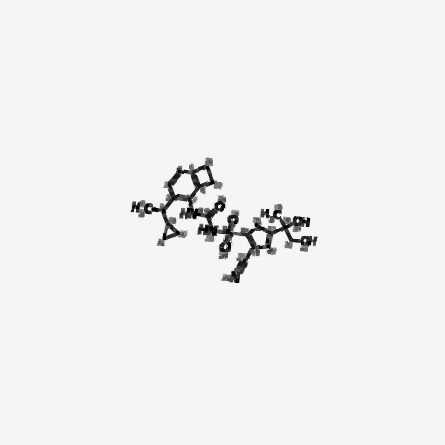 C[C@@H](c1ccc2c(c1NC(=O)NS(=O)(=O)c1sc(C(C)(O)CO)cc1C#N)CC2)C1CC1